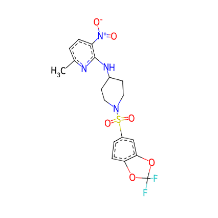 Cc1ccc([N+](=O)[O-])c(NC2CCN(S(=O)(=O)c3ccc4c(c3)OC(F)(F)O4)CC2)n1